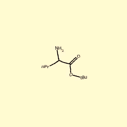 [CH2]CCC(N)C(=O)OC(C)(C)C